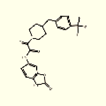 O=C(Nc1ccc2[nH]c(=O)oc2c1)C(=O)N1CCC(Cc2ccc(C(F)(F)F)cc2)CC1